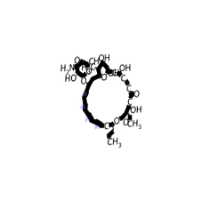 CCC[C@@H]1C/C=C/C=C/C=C/C=C/[C@H](OC2OC(C)C3OC3(N)C2O)CC2O[C@](O)(C[C@@H](O)CCCC(=O)C[C@@H](O)[C@H](CC)C(=O)O1)C[C@H](O)[C@H]2C